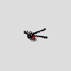 CCCCCCCCCCCCN(C(=O)c1ccccc1OCC[N+](C)(C)C)[C@@](CCCCCCCCCCCC)(CCC(=O)O)C(=O)Br